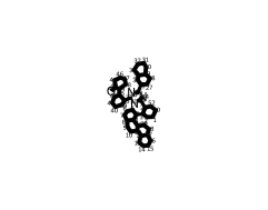 c1ccc(-c2cccc3ccc4c5ccccc5ccc4c23)c(-c2nc(-c3ccc4ccccc4c3)nc(-c3cccc4oc5ccccc5c34)n2)c1